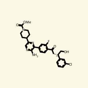 COC(=O)N1CCC(c2cnc(N)c(-c3ccc(C(=O)C[C@H](CO)c4cccc(Cl)c4)c(F)c3)n2)CC1